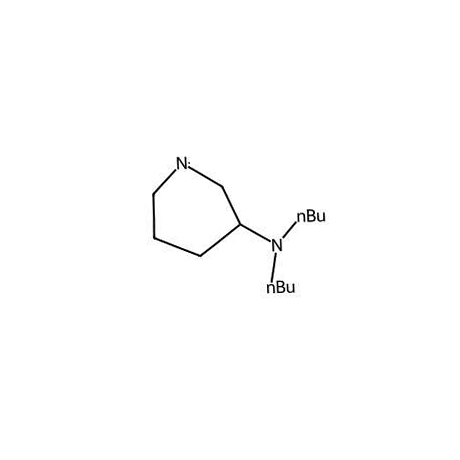 CCCCN(CCCC)C1CCC[N]C1